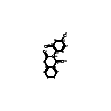 O=C1Cc2ccccc2C(=O)N1c1ccc(Cl)cc1Cl